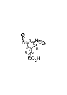 CC(=Cc1cc(N=C=O)cc(N=C=O)c1C)C(=O)O